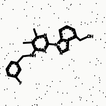 Cc1nc(-n2ncc3c(CO)cccc32)nc(NCc2cccc(F)c2)c1C